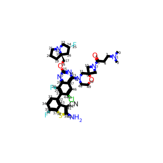 CN(C)CCC(=O)N1CC2(C1)CN(c1nc(OC[C@@]34CCCN3C[C@H](F)C4)nc3c(F)c(-c4ccc(F)c5sc(N)c(C#N)c45)c(Cl)cc13)CCO2